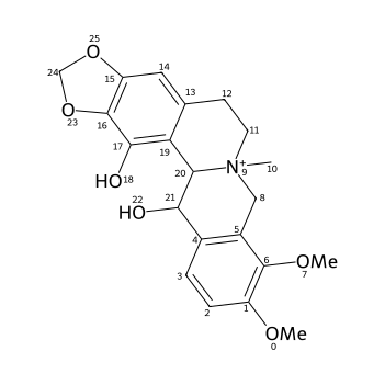 COc1ccc2c(c1OC)C[N+]1(C)CCc3cc4c(c(O)c3C1C2O)OCO4